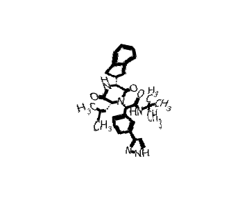 CC(C)C[C@@H]1C(=O)N[C@H](C2Cc3ccccc3C2)C(=O)N1[C@@H](C(=O)NC(C)(C)C)c1cccc(-c2cc[nH]n2)c1